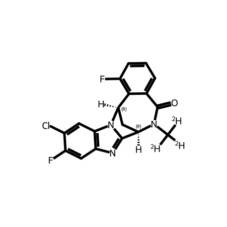 [2H]C([2H])([2H])N1C(=O)c2cccc(F)c2[C@H]2C[C@@H]1c1nc3cc(F)c(Cl)cc3n12